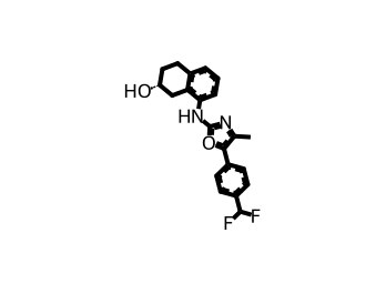 Cc1nc(Nc2cccc3c2C[C@H](O)CC3)oc1-c1ccc(C(F)F)cc1